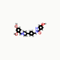 COc1ccc(C(=O)NCc2ccc(C3CCN(Cc4ccc(OC)cc4OC)CC3)cc2)cc1